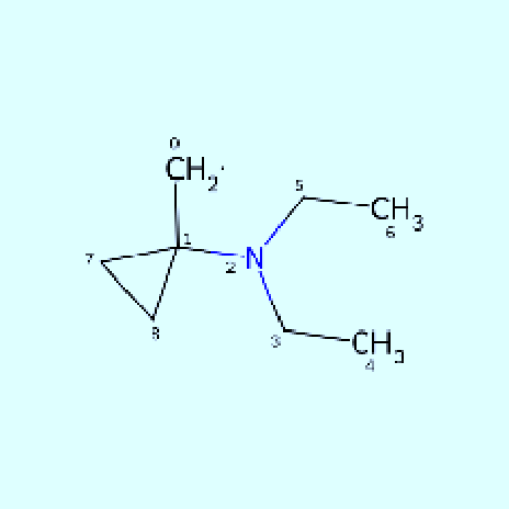 [CH2]C1(N(CC)CC)CC1